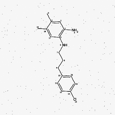 Cc1cc(N)c(NCCCc2ccc(Cl)cc2)cc1C